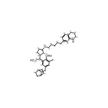 COc1c(F)cc(CN2C3CCC2CC3)cc1[C@@H](C(=O)O)N1CC[C@@H](OCCCCCc2ccc3c(n2)NCCC3)C1